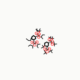 CC(C)(C)O[Si](OC(C)(C)C)(OC(C)(C)C)c1cccc([Si](OC(C)(C)C)(OC(C)(C)C)OC(C)(C)C)c1.CCC(C)O[Si](OC(C)CC)(OC(C)CC)c1cccc([Si](OC(C)CC)(OC(C)CC)OC(C)CC)c1